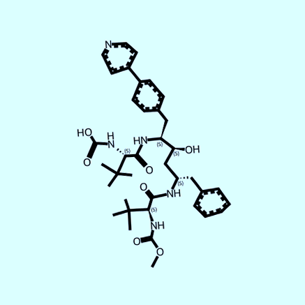 COC(=O)N[C@H](C(=O)N[C@@H](Cc1ccccc1)C[C@H](O)[C@H](Cc1ccc(-c2ccncc2)cc1)NC(=O)[C@@H](NC(=O)O)C(C)(C)C)C(C)(C)C